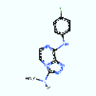 CC(C)N(C(=O)O)c1nnc2c(Nc3ccc(Cl)cc3)nccn12